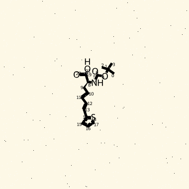 CC(C)(C)OC(=O)N[C@@H](CC=CC=Cc1cccs1)C(=O)O